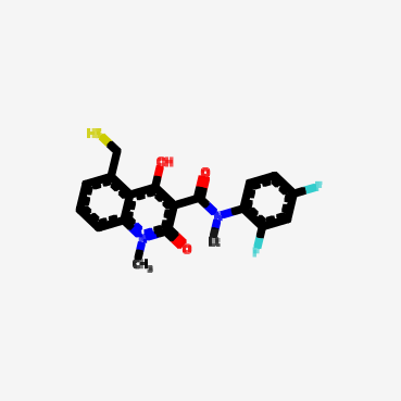 CCN(C(=O)c1c(O)c2c(CS)cccc2n(C)c1=O)c1ccc(F)cc1F